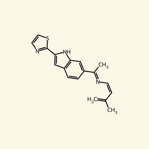 C=C(C)/C=C\N=C(/C)c1ccc2cc(-c3nccs3)[nH]c2c1